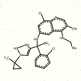 BC(Nc1cc(Cl)c2ncc(C#N)c(NCC(C)(C)C)c2c1)(C1=CN(C2(C(F)(F)F)CC2)NN1)c1ccccc1Cl